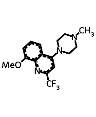 COc1cccc2c(N3CCN(C)CC3)cc(C(F)(F)F)nc12